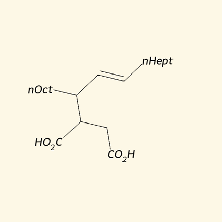 CCCCCCC/C=C/C(CCCCCCCC)C(CC(=O)O)C(=O)O